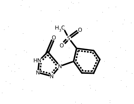 CS(=O)(=O)c1ccccc1-n1nn[nH]c1=O